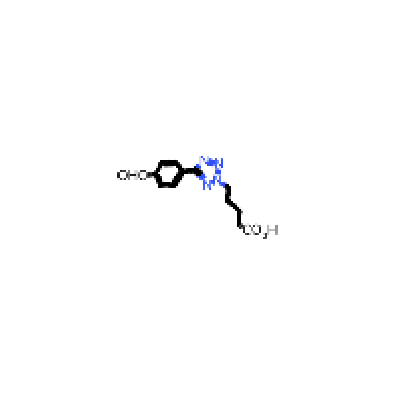 O=Cc1ccc(-c2nnn(CCCCC(=O)O)n2)cc1